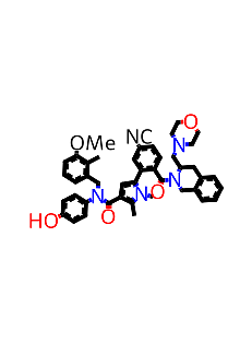 COc1cccc(CN(C(=O)c2cc(-c3cc(C#N)ccc3C(=O)N3Cc4ccccc4CC3CN3CCOCC3)n(C)c2C)c2ccc(O)cc2)c1C